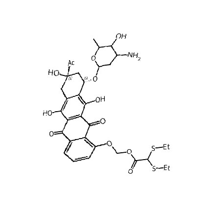 CCSC(SCC)C(=O)OCOc1cccc2c1C(=O)c1c(O)c3c(c(O)c1C2=O)C[C@@](O)(C(C)=O)C[C@@H]3OC1CC(N)C(O)C(C)O1